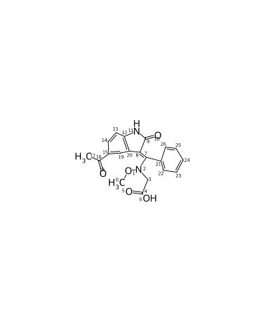 CON(CC(=O)O)C(=C1C(=O)Nc2ccc(C(C)=O)cc21)c1ccccc1